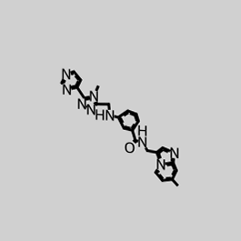 Cc1ccn2c(CNC(=O)c3cccc(NCc4nnc(-c5ccncn5)n4C)c3)cnc2c1